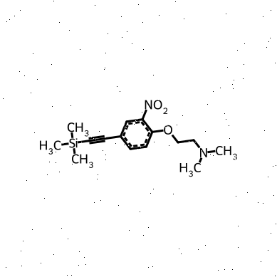 CN(C)CCOc1ccc(C#C[Si](C)(C)C)cc1[N+](=O)[O-]